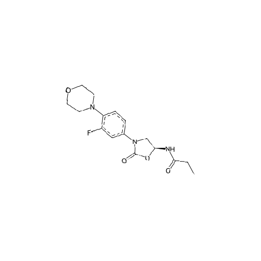 CCC(=O)N[C@@H]1CN(c2ccc(N3CCOCC3)c(F)c2)C(=O)O1